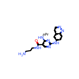 CCCNc1nc(Nc2ccc3nnccc3c2)ncc1C(=O)NCCCN